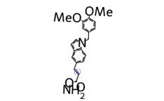 COc1ccc(Cn2ccc3cc(/C=C/C(=O)ON)ccc32)cc1OC